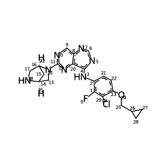 Fc1c(Nc2ncnc3cnc(N4C[C@@H]5C[C@H]4CN5)nc23)ccc(OCC2CC2)c1Cl